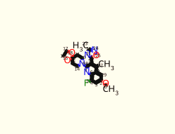 COc1cc(F)c2nc(N3CCC4(CC3)OCCO4)c(-c3nc(C)no3)c(C)c2c1